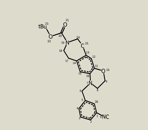 [C-]#[N+]c1cccc(CN2CCOc3cc4c(cc32)CCN(C(=O)OC(C)(C)C)CC4)c1